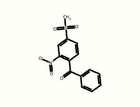 CS(=O)(=O)c1ccc(C(=O)c2ccccc2)c([N+](=O)[O-])c1